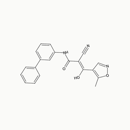 Cc1oncc1/C(O)=C(\C#N)C(=O)Nc1cccc(-c2ccccc2)c1